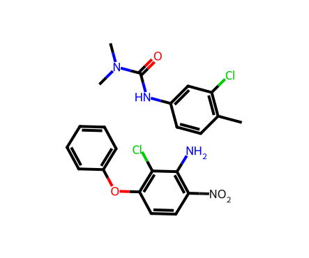 Cc1ccc(NC(=O)N(C)C)cc1Cl.Nc1c([N+](=O)[O-])ccc(Oc2ccccc2)c1Cl